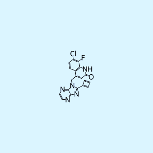 O=c1cc(Cn2c(C3=CC=C3)nc3nccnc32)c2ccc(Cl)c(F)c2[nH]1